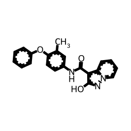 Cc1cc(NC(=O)c2c(O)nn3ccccc23)ccc1Oc1ccccc1